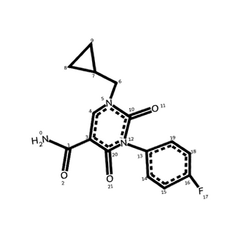 NC(=O)c1cn(CC2CC2)c(=O)n(-c2ccc(F)cc2)c1=O